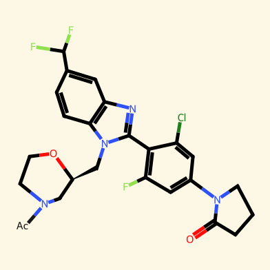 CC(=O)N1CCO[C@@H](Cn2c(-c3c(F)cc(N4CCCC4=O)cc3Cl)nc3cc(C(F)F)ccc32)C1